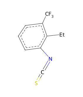 CCc1c(N=C=S)cccc1C(F)(F)F